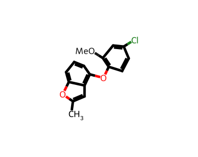 COc1cc(Cl)ccc1Oc1cccc2oc(C)cc12